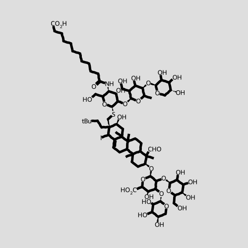 CC1O[C@@H](OC2C(O)[C@@H](NC(=O)CCCCCCCCCCC(=O)O)C(CO)O[C@H]2SC[C@]2(CCC(C)(C)C)C(I)C3=CCC4C5(C)CC[C@H](O[C@@H]6OC(C(=O)O)[C@@H](O)C(O[C@@H]7OC[C@@H](O)C(O)C7O)C6O[C@@H]6OC(CO)[C@H](O)C(O)C6O)C(C)(C=O)C5CCC4(C)C3(C)C[C@@H]2O)C(CO)C(O)[C@H]1O[C@@H]1OC[C@@H](O)C(O)C1O